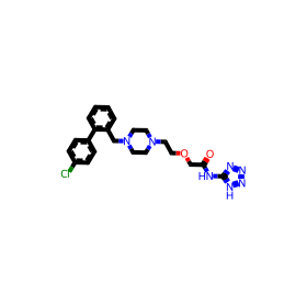 O=C(COCCN1CCN(Cc2ccccc2-c2ccc(Cl)cc2)CC1)Nc1nnn[nH]1